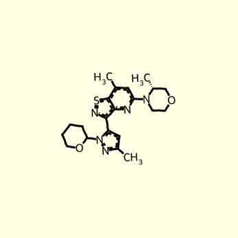 Cc1cc(-c2nsc3c(C)cc(N4CCOC[C@H]4C)nc23)n(C2CCCCO2)n1